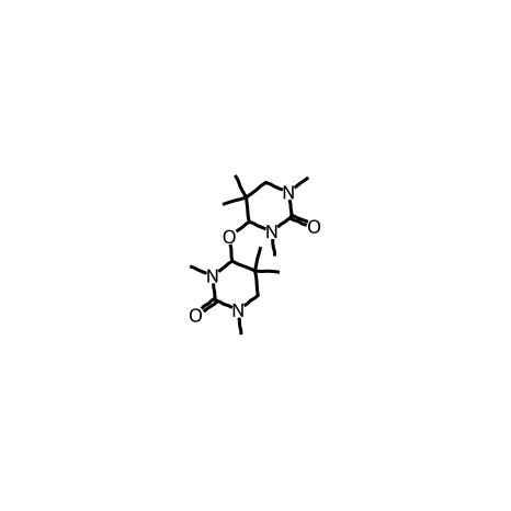 CN1CC(C)(C)C(OC2N(C)C(=O)N(C)CC2(C)C)N(C)C1=O